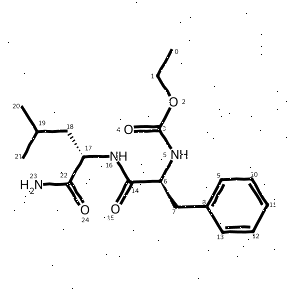 CCOC(=O)N[C@@H](Cc1ccccc1)C(=O)N[C@@H](CC(C)C)C(N)=O